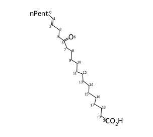 CCCCCC=CCCC(=O)CCCCCCCCCCCCCC(=O)O